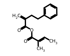 C=C(CCc1ccccc1)C(=O)OC(=O)C(C)=CC